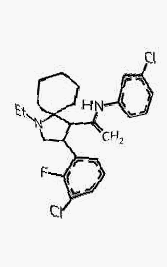 C=C(Nc1cccc(Cl)c1)C1C(c2cccc(Cl)c2F)CN(CC)C12CCCCC2